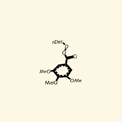 [CH2]CCCCCCCCCOOC(=O)c1cc(OC)c(OC)c(OC)c1